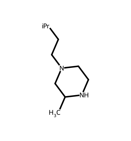 CC(C)CCN1CCNC(C)C1